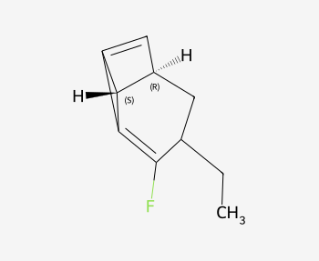 CCC1C[C@@H]2C=C3C(=C1F)[C@H]32